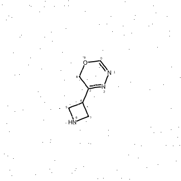 C1=NN=C(C2CNC2)CO1